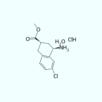 COC(=O)[C@@H]1Cc2ccc(Cl)cc2[C@H](N)C1.Cl.O